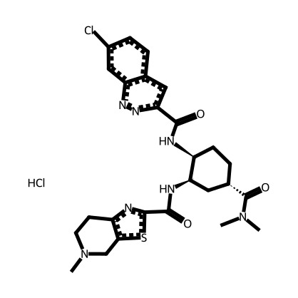 CN1CCc2nc(C(=O)N[C@@H]3C[C@@H](C(=O)N(C)C)CC[C@@H]3NC(=O)c3cc4ccc(Cl)cc4nn3)sc2C1.Cl